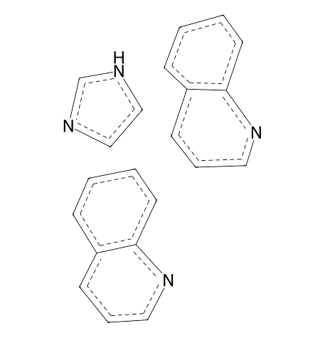 c1c[nH]cn1.c1ccc2ncccc2c1.c1ccc2ncccc2c1